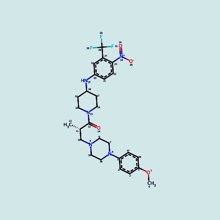 COc1ccc(N2CCN(C[C@H](C)C(=O)N3CCC(Nc4ccc([N+](=O)[O-])c(C(F)(F)F)c4)CC3)CC2)cc1